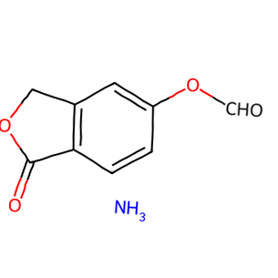 N.O=COc1ccc2c(c1)COC2=O